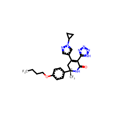 O=C1N[C@@](c2ccc(OCCCC(F)(F)F)cc2)(C(F)(F)F)CC(c2cnn(C3CC3)c2)=C1c1nnn[nH]1